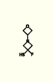 FC1(S)CN(C2COC2)C1